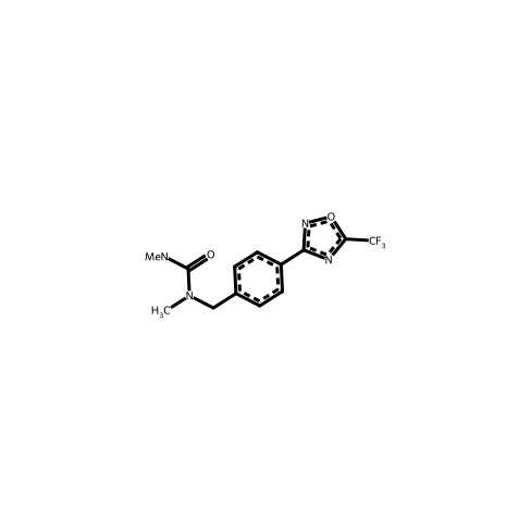 CNC(=O)N(C)Cc1ccc(-c2noc(C(F)(F)F)n2)cc1